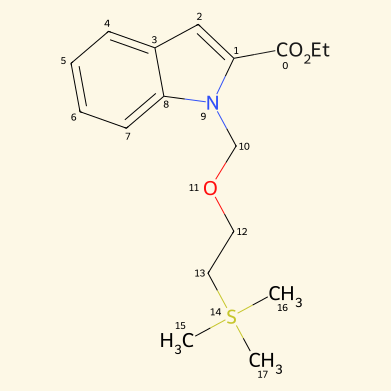 CCOC(=O)c1cc2ccccc2n1COCCS(C)(C)C